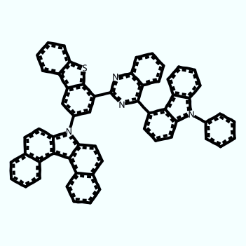 c1ccc(-n2c3ccccc3c3c(-c4nc(-c5cc(-n6c7ccc8ccccc8c7c7c8ccccc8ccc76)cc6c5sc5ccccc56)nc5ccccc45)cccc32)cc1